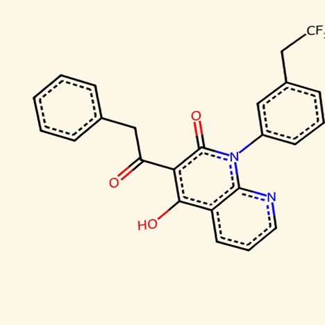 O=C(Cc1ccccc1)c1c(O)c2cccnc2n(-c2cccc(CC(F)(F)F)c2)c1=O